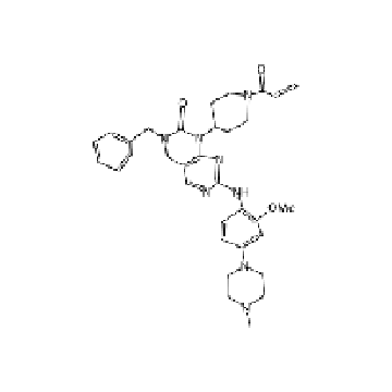 C=CC(=O)N1CCC(N2C(=O)N(Cc3ccccc3)Cc3cnc(Nc4ccc(N5CCN(C)CC5)cc4OC)nc32)CC1